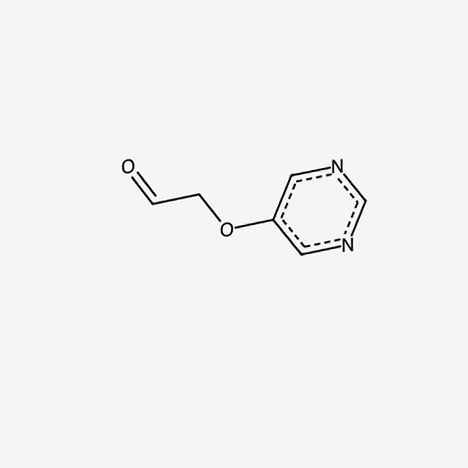 O=CCOc1cncnc1